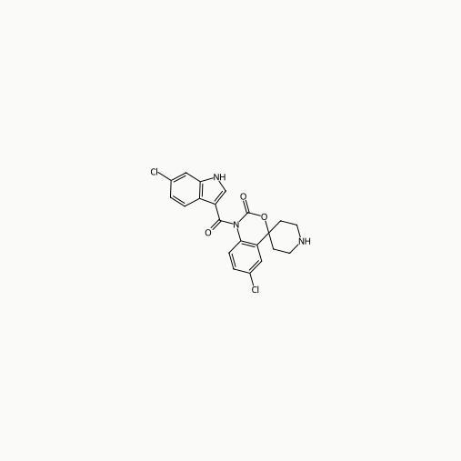 O=C1OC2(CCNCC2)c2cc(Cl)ccc2N1C(=O)c1c[nH]c2cc(Cl)ccc12